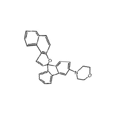 C1=CC2(Oc3ccc4ccccc4c31)c1ccccc1-c1cc(N3CCOCC3)ccc12